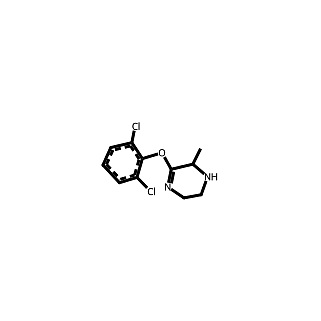 CC1NCCN=C1Oc1c(Cl)cccc1Cl